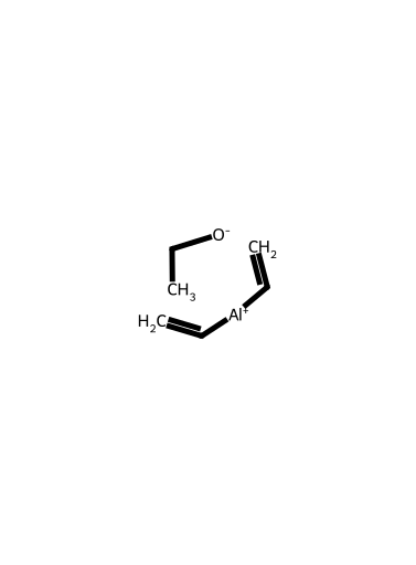 C=[CH][Al+][CH]=C.CC[O-]